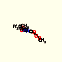 COCCOCCOc1ccc(N2CCN(C(=O)OC(C)(C)C)CC2)cc1